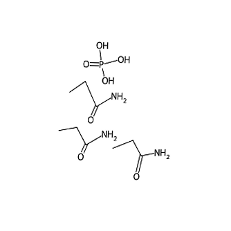 CCC(N)=O.CCC(N)=O.CCC(N)=O.O=P(O)(O)O